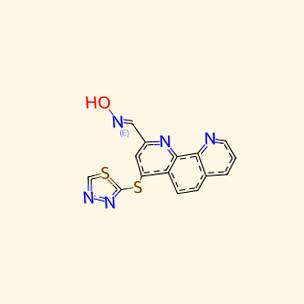 O/N=C/c1cc(Sc2nncs2)c2ccc3cccnc3c2n1